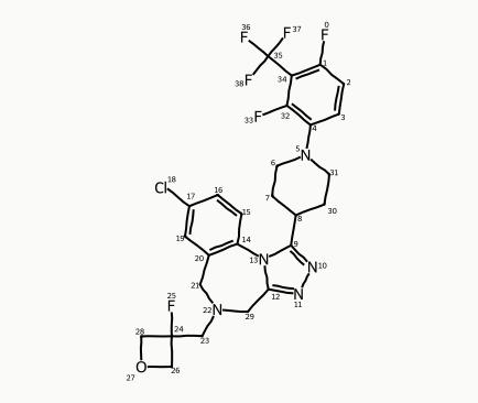 Fc1ccc(N2CCC(c3nnc4n3-c3ccc(Cl)cc3CN(CC3(F)COC3)C4)CC2)c(F)c1C(F)(F)F